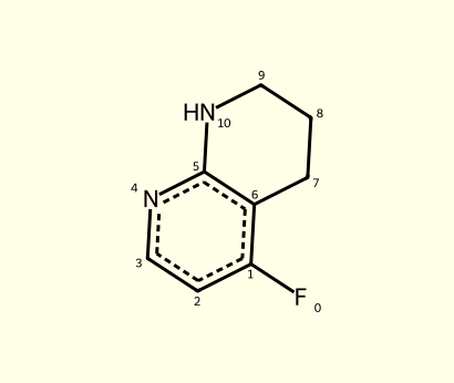 Fc1ccnc2c1CCCN2